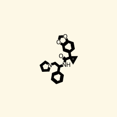 O=C(NC(CN1CCCC1)c1ccccc1)C1(c2ccc3c(c2)OCO3)CC1